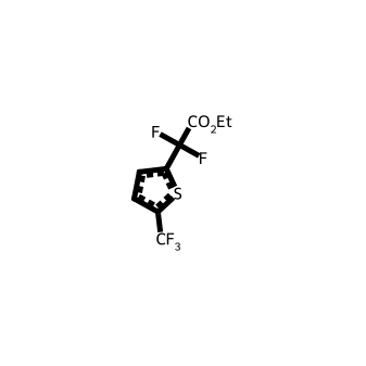 CCOC(=O)C(F)(F)c1ccc(C(F)(F)F)s1